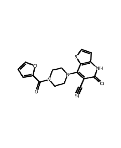 N#Cc1c(N2CCN(C(=O)c3ccco3)CC2)c2sccc2[nH]c1=O